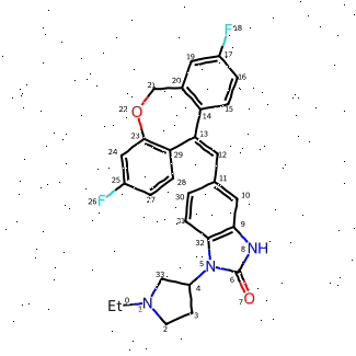 CCN1CCC(n2c(=O)[nH]c3cc(C=C4c5ccc(F)cc5COc5cc(F)ccc54)ccc32)C1